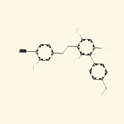 CCc1ccc(-c2c([O])cc(F)c(CCc3ccc(C#N)c(F)c3)c2F)cc1